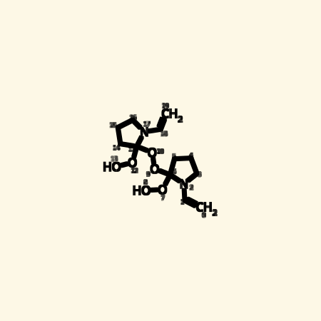 C=CN1CCCC1(OO)OOC1(OO)CCCN1C=C